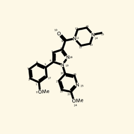 COc1cccc(-c2cc(C(=O)N3CCN(C)CC3)nn2-c2ccc(OC)nc2)c1